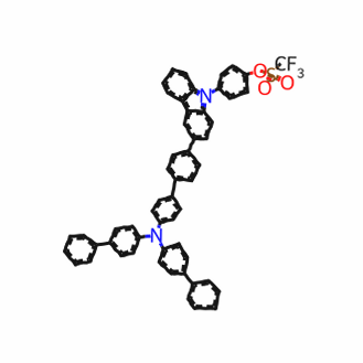 O=S(=O)(Oc1ccc(-n2c3ccccc3c3cc(-c4ccc(-c5ccc(N(c6ccc(-c7ccccc7)cc6)c6ccc(-c7ccccc7)cc6)cc5)cc4)ccc32)cc1)C(F)(F)F